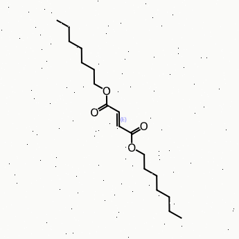 CCCCCCCOC(=O)/C=C/C(=O)OCCCCCCC